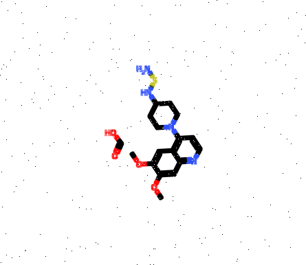 COc1cc2nccc(N3CCC(NSN)CC3)c2cc1OC.O=CO